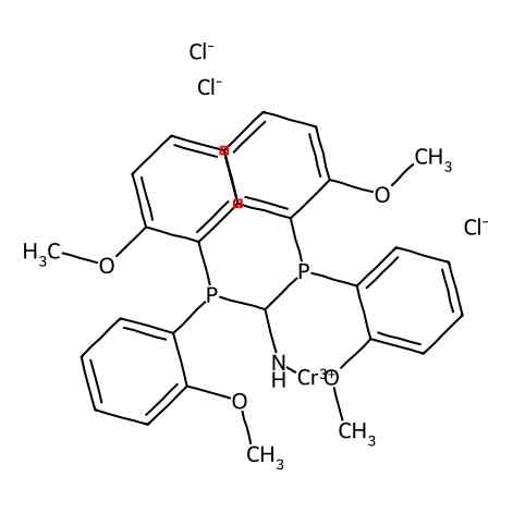 COc1ccccc1P(c1ccccc1OC)C([NH][Cr+3])P(c1ccccc1OC)c1ccccc1OC.[Cl-].[Cl-].[Cl-]